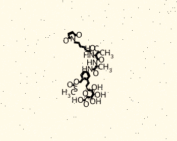 CSC(=O)OCc1ccc(NC(=O)[C@H](C)NC(=O)[C@@H](NC(=O)CCCCCN2C(=O)C=CC2=O)C(C)C)cc1CC[C@@H]1O[C@H](C(=O)O)[C@@H](O)[C@H](O)[C@H]1O